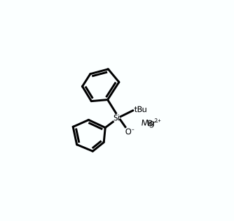 CC(C)(C)[Si]([O-])(c1ccccc1)c1ccccc1.[Br-].[Mg+2]